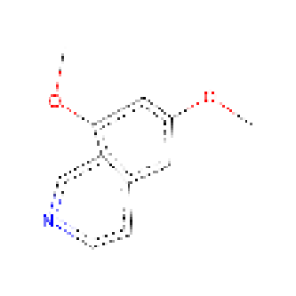 COc1cc(OC)c2cnccc2c1